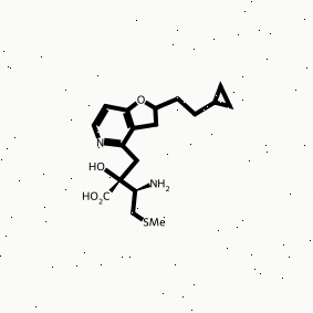 CSC[C@H](N)[C@](O)(Cc1nccc2c1CC(CCC1CC1)O2)C(=O)O